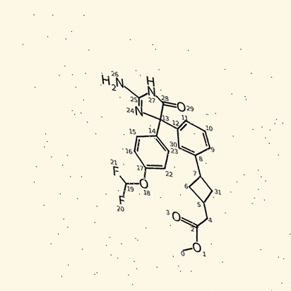 COC(=O)CC1CC(c2cccc(C3(c4ccc(OC(F)F)cc4)N=C(N)NC3=O)c2)C1